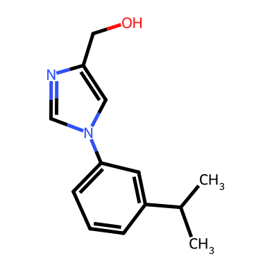 CC(C)c1cccc(-n2cnc(CO)c2)c1